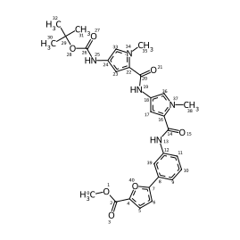 COC(=O)c1ccc(-c2cccc(NC(=O)c3cc(NC(=O)c4cc(NC(=O)OC(C)(C)C)cn4C)cn3C)c2)o1